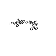 C[C@@H](c1nc(-c2ccc(-c3ncc(-c4cnc([C@@H]5CCCN5C(=O)[C@@H](c5ccccc5)N5CCCCC5)[nH]4)cn3)cc2)c[nH]1)N(C)C(=O)[C@H](NC(=O)O)c1ccccc1